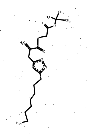 C=C(Cc1nc(CCCCCCCC)no1)C(=O)OCC(=O)OC(C)(C)C